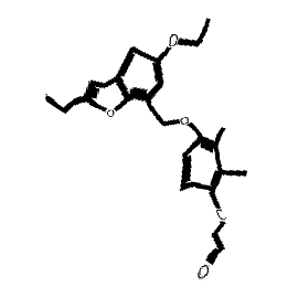 CCOc1cc(COc2ccc(CCC=O)c(C)c2C)c2oc(CC)cc2c1